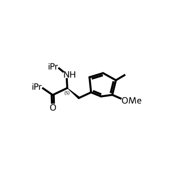 COc1cc(C[C@H](NC(C)C)C(=O)C(C)C)ccc1C